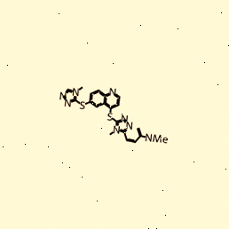 C=C(/C=C\c1nnc(Sc2ccnc3ccc(Sc4nncn4C)cc23)n1C)NC